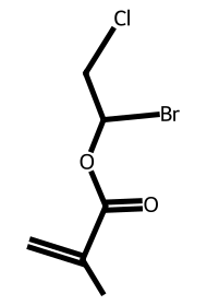 C=C(C)C(=O)OC(Br)CCl